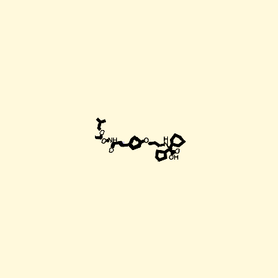 CC(C)COC(C)ONC(=O)/C=C/c1ccc(OCCCN[C@](C(=O)O)(C2CCCCC2)C2CCCC2)cc1